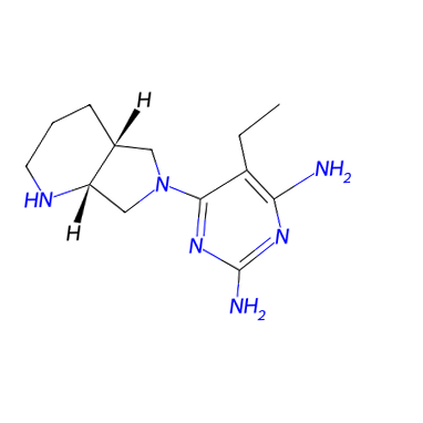 CCc1c(N)nc(N)nc1N1C[C@H]2CCCN[C@H]2C1